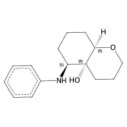 O[C@@]12CCCO[C@@H]1CCC[C@@H]2Nc1ccccc1